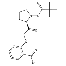 CC(C)(C)C(=O)ON1CCC[C@@H]1C(=O)COc1ccccc1[N+](=O)[O-]